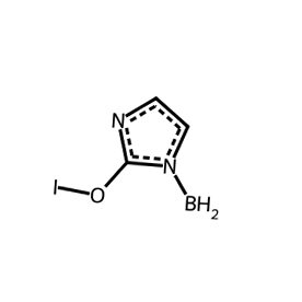 Bn1ccnc1OI